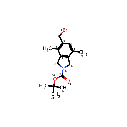 Cc1cc(CBr)c(C)c2c1CN(C(=O)OC(C)(C)C)C2